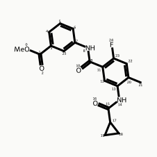 COC(=O)c1cccc(NC(=O)c2cc(NC(=O)C3CC3)c(C)cc2F)c1